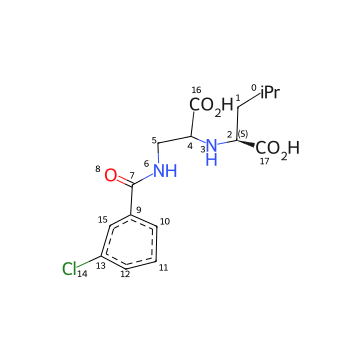 CC(C)C[C@H](NC(CNC(=O)c1cccc(Cl)c1)C(=O)O)C(=O)O